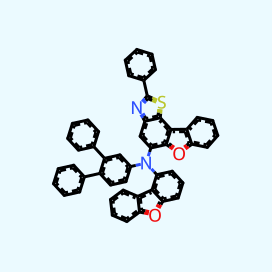 c1ccc(-c2nc3cc(N(c4ccc(-c5ccccc5)c(-c5ccccc5)c4)c4cccc5oc6ccccc6c45)c4oc5ccccc5c4c3s2)cc1